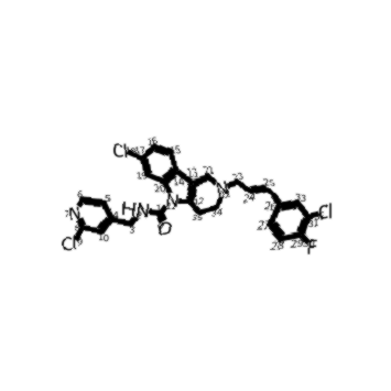 O=C(NCc1ccnc(Cl)c1)n1c2c(c3ccc(Cl)cc31)CN(CC=Cc1ccc(F)c(Cl)c1)CC2